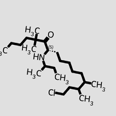 CCCCC(C)(C)C(=O)[C@H](CCCCCC(C)C(C)CCCl)NC(C)CC